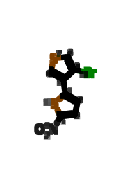 O=[N+]([O-])c1ccc(-c2[c]scc2Br)s1